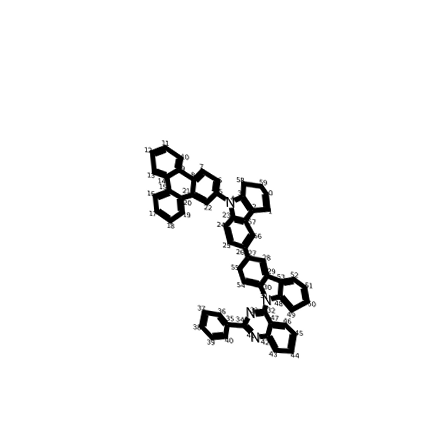 C1=Cc2c(n(-c3ccc4c5ccccc5c5ccccc5c4c3)c3ccc(C4C=c5c(n(-c6nc(-c7ccccc7)nc7ccccc67)c6ccccc56)=CC4)cc23)CC1